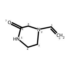 C=CN1CCNC(=O)C1